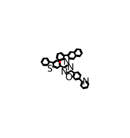 c1ccc(-c2ccc3c(c2)oc2nc(-c4ccc5c(c4)sc4ccccc45)c(-n4c5ccccc5c5cc6ccccc6cc54)nc23)nc1